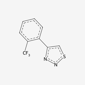 FC(F)(F)c1ccccc1-c1csnn1